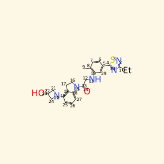 CCc1nsc(-c2ccc(C)c(NCC(=O)N3CCc4c(N5CC(O)C5)cccc43)c2)n1